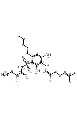 CCCCCc1cc(O)c(CC=C(C)CCC=C(C)C)c(O)c1S(=O)(=O)NC(=O)C(C)CN